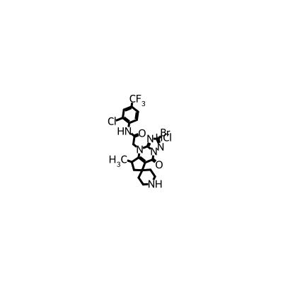 CC1CC2(CCNCC2)c2c1n(CC(=O)Nc1ccc(C(F)(F)F)cc1Cl)c1nc(Br)nn1c2=O.Cl